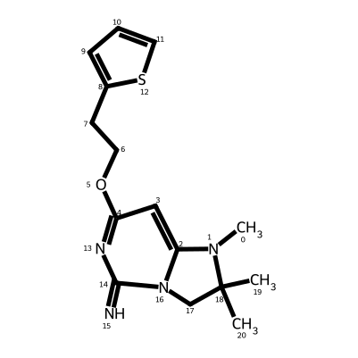 CN1c2cc(OCCc3cccs3)nc(=N)n2CC1(C)C